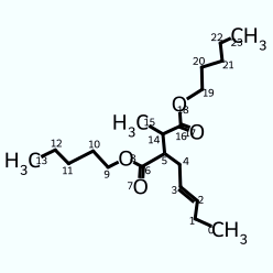 CCC=CCC(C(=O)OCCCCC)C(C)C(=O)OCCCCC